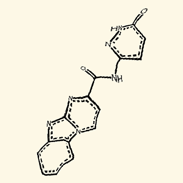 O=C(Nc1ccc(=O)[nH]n1)c1ccn2c(n1)nc1ccccc12